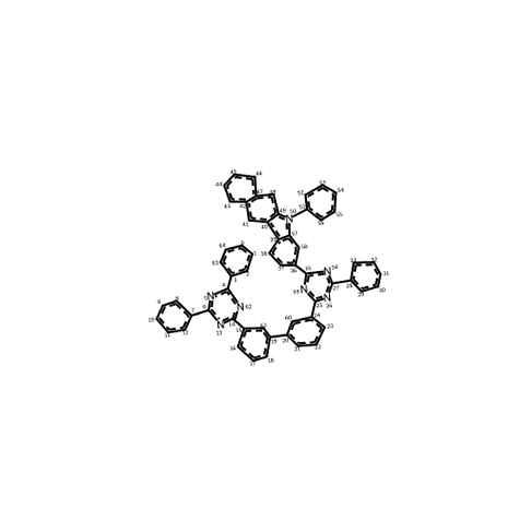 c1ccc(-c2nc(-c3ccccc3)nc(-c3cccc(-c4cccc(-c5nc(-c6ccccc6)nc(-c6ccc7c8cc9ccccc9cc8n(-c8ccccc8)c7c6)n5)c4)c3)n2)cc1